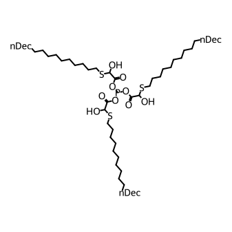 CCCCCCCCCCCCCCCCCCCCSC(O)C(=O)OP(OC(=O)C(O)SCCCCCCCCCCCCCCCCCCCC)OC(=O)C(O)SCCCCCCCCCCCCCCCCCCCC